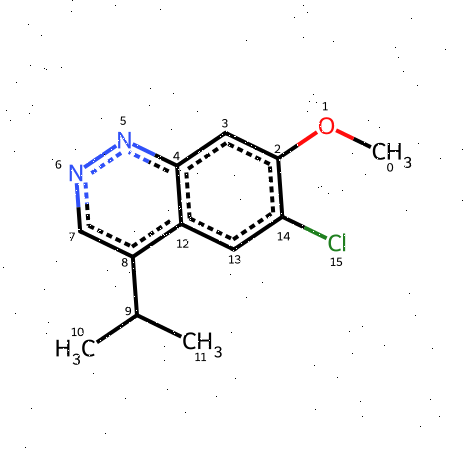 COc1cc2nncc(C(C)C)c2cc1Cl